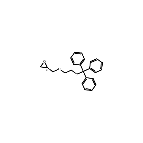 c1ccc(C(OCCOC[C@H]2CO2)(c2ccccc2)c2ccccc2)cc1